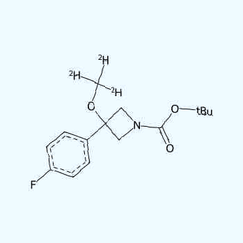 [2H]C([2H])([2H])OC1(c2ccc(F)cc2)CN(C(=O)OC(C)(C)C)C1